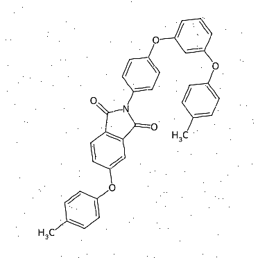 Cc1ccc(Oc2cccc(Oc3ccc(N4C(=O)c5ccc(Oc6ccc(C)cc6)cc5C4=O)cc3)c2)cc1